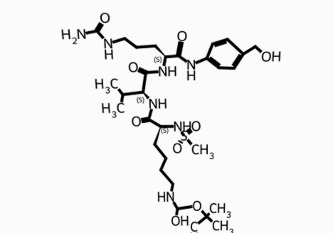 CC(C)[C@H](NC(=O)[C@H](CCCCNC(O)OC(C)(C)C)NS(C)(=O)=O)C(=O)N[C@@H](CCCNC(N)=O)C(=O)Nc1ccc(CO)cc1